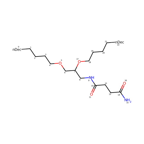 CCCCCCCCCCCCCCOCC(CNC(=O)CCC(N)=O)OCCCCCCCCCCCCCC